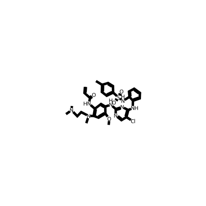 C=CC(=O)Nc1cc(Nc2ncc(Cl)c(Nc3ccccc3NS(=O)(=O)c3ccc(C)cc3)n2)c(OC)cc1N(C)CCN(C)C